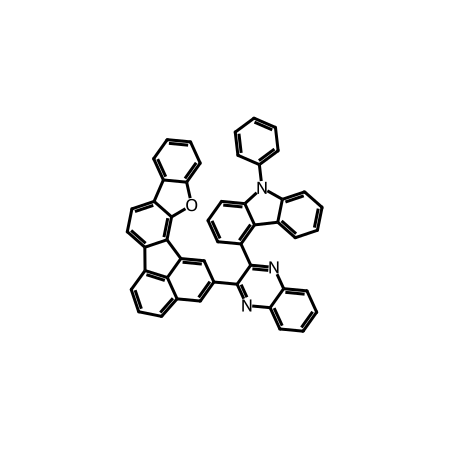 c1ccc(-n2c3ccccc3c3c(-c4nc5ccccc5nc4-c4cc5c6c(cccc6c4)-c4ccc6c(oc7ccccc76)c4-5)cccc32)cc1